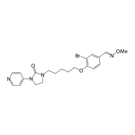 CO/N=C/c1ccc(OCCCCCN2CCN(c3ccncc3)C2=O)c(Br)c1